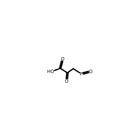 O=PCC(=O)C(=O)O